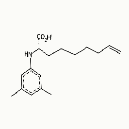 C=CCCCCC[C@H](Nc1cc(C)cc(C)c1)C(=O)O